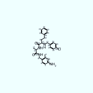 Cc1nc(N)ccc1CNC(=O)C(C)NC(=O)C(CCc1ccccc1)NCc1ccc(Cl)cc1